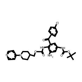 CC(C)(C)OC(=O)Nc1cc(N)c(NC(=O)OCC2CCN(c3ccncc3)CC2)c(C(=O)c2ccc(Cl)cc2)c1